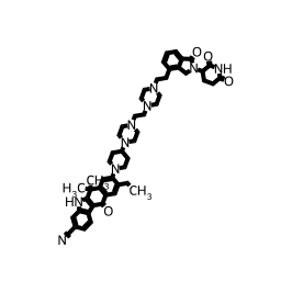 CCc1cc2c(cc1N1CCC(N3CCN(CCN4CCN(CCc5cccc6c5CN(C5CCC(=O)NC5=O)C6=O)CC4)CC3)CC1)C(C)(C)c1[nH]c3cc(C#N)ccc3c1C2=O